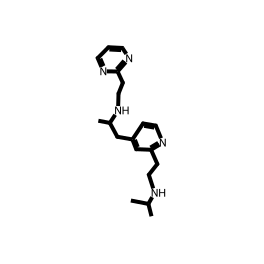 CC(C)NCCc1cc(CC(C)NCCc2ncccn2)ccn1